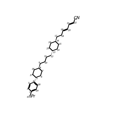 CCCc1ccc([C@H]2CC[C@H](CCCC[C@H]3CC[C@H](CC/C=C/C=C/C#N)CC3)CC2)cc1